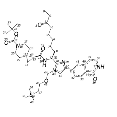 CCC(=O)CCCCC[C@H](NC(=O)[C@H]1CC12CCN(C(=O)OC(C)(C)C)CC2)c1nc(-c2ccc3c(=O)[nH]ccc3c2)cn1COCC[Si](C)(C)C